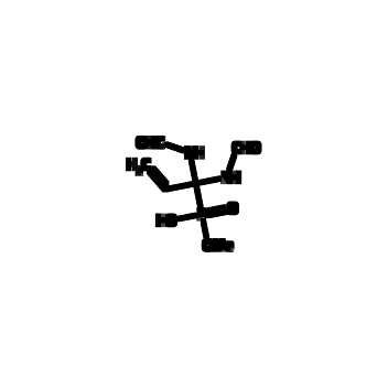 C=CC(NC=O)(NC=O)P(=O)(O)OC